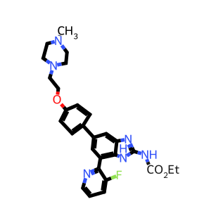 CCOC(=O)Nc1nc2cc(-c3ccc(OCCN4CCN(C)CC4)cc3)cc(-c3ncccc3F)c2[nH]1